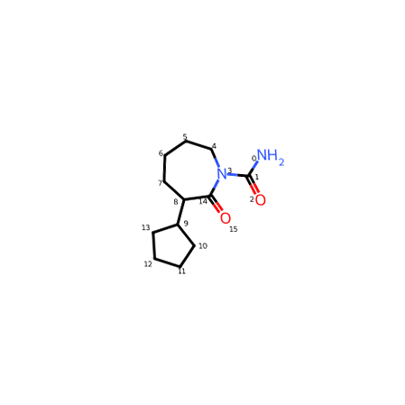 NC(=O)N1CCCCC(C2CCCC2)C1=O